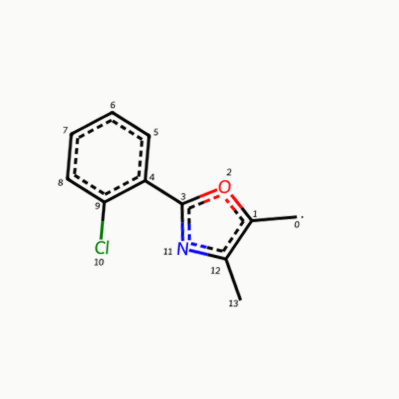 [CH2]c1oc(-c2ccccc2Cl)nc1C